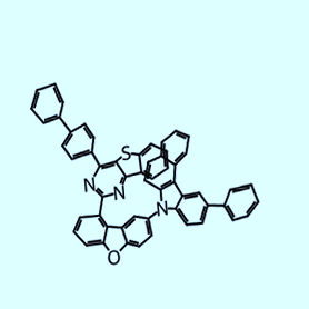 c1ccc(-c2ccc(-c3nc(-c4cccc5oc6ccc(-n7c8ccc(-c9ccccc9)cc8c8c9ccccc9ccc87)cc6c45)nc4c3sc3ccccc34)cc2)cc1